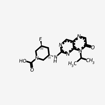 CC(C)n1c(=O)cnc2cnc(N[C@H]3C[C@H](F)CN(C(=O)O)C3)nc21